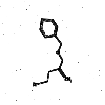 C=C(CCBr)COCc1ccccc1